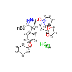 CCCCc1nnc(O[N+]2(CCC3OCCCO3)CCCCC2)cc1-c1ccc(OC2CCCCC2)cc1.Cl.Cl